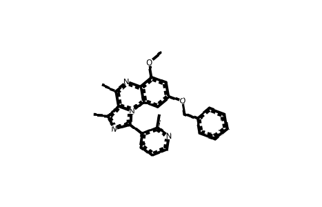 COc1cc(OCc2ccccc2)cc2c1nc(C)c1c(C)nc(-c3cccnc3C)n12